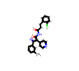 Cc1cccc(-c2noc(NC(=O)CCc3ccccc3Cl)c2-c2ccncc2)c1